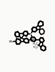 CC(C)(C)c1ccc2c(c1)C1(c3ccccc3-c3ccc(N(c4cccc(-c5cccc6c5C(C)(C)c5ccccc5-6)c4)c4ccc5c(c4)C4(CCCCC4)c4ccccc4-5)cc31)c1cc(C(C)(C)C)ccc1-2